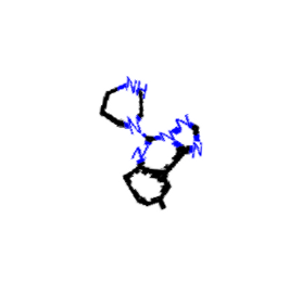 Cc1ccc2nc(N3CCCNCC3)n3ncnc3c2c1